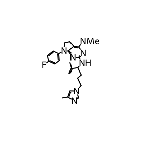 C=C(C)C(CCCn1cnc(C)c1)Nc1nc(NC)c2c(n1)N(c1ccc(F)cc1)CC2